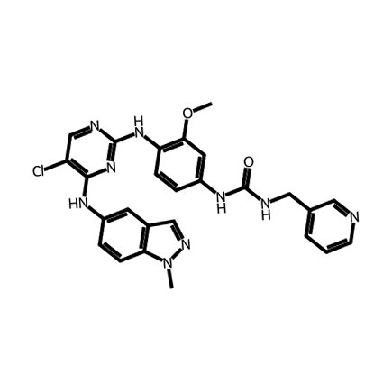 COc1cc(NC(=O)NCc2cccnc2)ccc1Nc1ncc(Cl)c(Nc2ccc3c(cnn3C)c2)n1